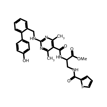 COC(=O)C(CNC(=O)c1cccs1)NC(=O)c1c(C)nc(NCc2ccccc2-c2ccc(O)cc2)nc1C